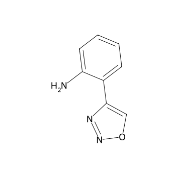 Nc1ccccc1-c1conn1